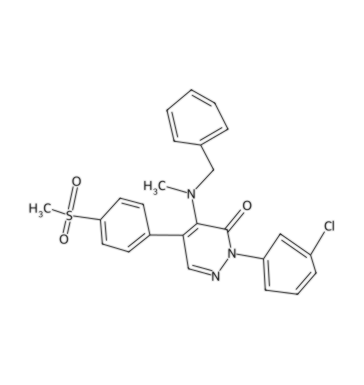 CN(Cc1ccccc1)c1c(-c2ccc(S(C)(=O)=O)cc2)cnn(-c2cccc(Cl)c2)c1=O